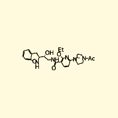 CCOc1nc(N2CCN(C(C)=O)CC2)ccc1C(=O)NC[C@@H](O)[C@@H]1Cc2ccccc2CN1